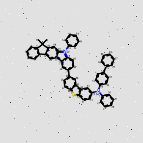 CC1(C)c2ccccc2-c2cc3c4cc(-c5ccc6sc7ccc(N(c8ccccc8)c8ccc(-c9ccccc9)cc8)cc7c6c5)ccc4n(-c4ccccc4)c3cc21